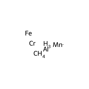 C.[AlH3].[Cr].[Fe].[Mn]